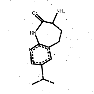 CC(C)c1cnc2c(c1)CCC(N)C(=O)N2